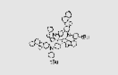 CC(C)(C)c1ccc(N(c2ccc3c(c2)C2(c4ccccc4N4c5ccccc5Oc5cccc2c54)c2cc(N(c4ccc(C(C)(C)C)cc4)c4ccc5c(c4)oc4c6ccccc6ccc54)c4c(oc5ccccc54)c2-3)c2ccc3c(c2)oc2c4ccccc4ccc32)cc1